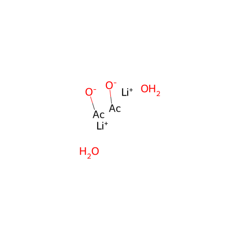 CC(=O)[O-].CC(=O)[O-].O.O.[Li+].[Li+]